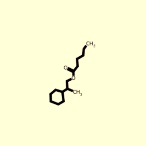 CCCCCC(=O)OC[C](C)C1CCCCC1